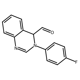 O=CC1c2ccccc2N=CN1c1ccc(F)cc1